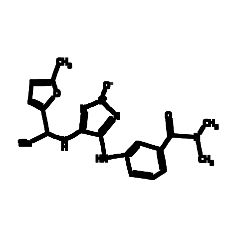 Cc1ccc(C(Nc2n[s+]([O-])nc2Nc2cccc(C(=O)N(C)C)c2)C(C)(C)C)o1